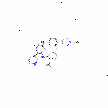 CSN1CCN(c2ccc(Nc3ncc(-c4cccnc4)c(NC4C5C=CC(C5)C4C(N)=O)n3)cc2F)CC1